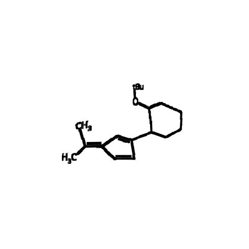 CC(C)=C1C=CC(C2CCCCC2OC(C)(C)C)=C1